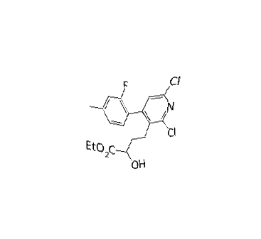 CCOC(=O)C(O)CCc1c(-c2ccc(C)cc2F)cc(Cl)nc1Cl